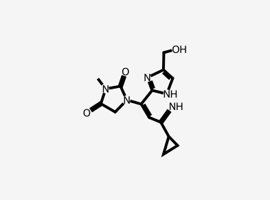 CN1C(=O)CN(/C(=C/C(=N)C2CC2)c2nc(CO)c[nH]2)C1=O